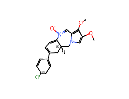 COc1cn2c(c1OC)C=[N+]([O-])C1=CC=C(c3ccc(Cl)cc3)C[C@H]1C2